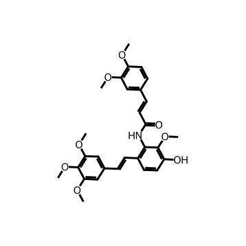 COc1ccc(/C=C/C(=O)Nc2c(/C=C/c3cc(OC)c(OC)c(OC)c3)ccc(O)c2OC)cc1OC